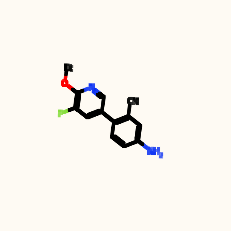 CCOc1ncc(-c2ccc(N)cc2C#N)cc1F